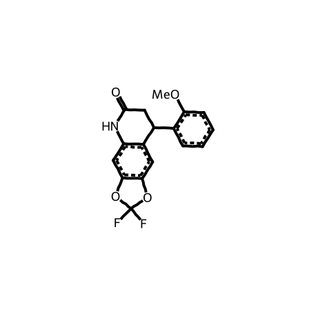 COc1ccccc1C1CC(=O)Nc2cc3c(cc21)OC(F)(F)O3